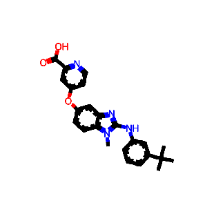 Cn1c(Nc2cccc(C(C)(C)C)c2)nc2cc(Oc3ccnc(C(=O)O)c3)ccc21